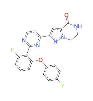 O=C1NCCn2nc(-c3ccnc(-c4c(F)cccc4Oc4ccc(F)cc4)n3)cc21